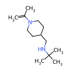 C=C(C)N1CCC(CNC(C)(C)C)CC1